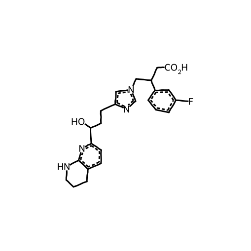 O=C(O)CC(Cn1cnc(CCC(O)c2ccc3c(n2)NCCC3)c1)c1cccc(F)c1